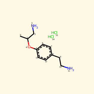 CC(CN)Oc1ccc(CCN)cc1.Cl.Cl